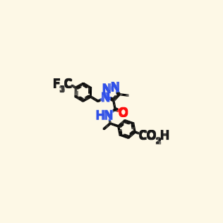 Cc1nnn(Cc2ccc(C(F)(F)F)cc2)c1C(=O)NC(C)c1ccc(C(=O)O)cc1